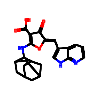 O=C(O)C1=C(NC2C3CC4CC(C3)CC2C4)OC(=Cc2c[nH]c3ncccc23)C1=O